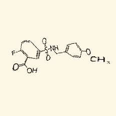 COc1ccc(CNS(=O)(=O)c2ccc(F)c(C(=O)O)c2)cc1